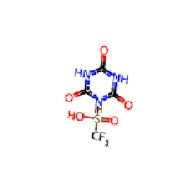 O=c1[nH]c(=O)n([SH](=O)(O)C(F)(F)F)c(=O)[nH]1